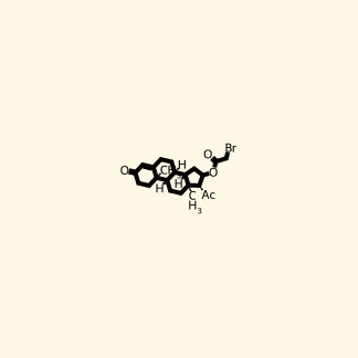 CC(=O)[C@H]1C(OC(=O)CBr)C[C@H]2[C@@H]3CCC4=CC(=O)CC[C@]4(C)[C@H]3CC[C@]12C